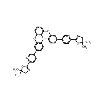 CC1(C)CN=C(c2ccc(-c3ccc4c(c3)Oc3cccc5c3B4c3ccc(-c4ccc(C6=NCC(C)(C)O6)nc4)cc3O5)cn2)O1